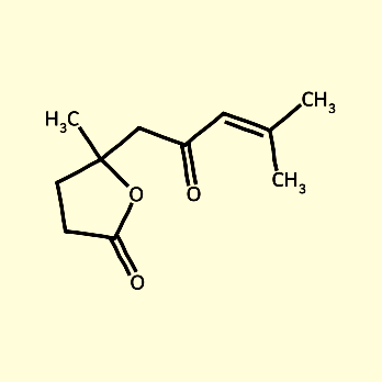 CC(C)=CC(=O)CC1(C)CCC(=O)O1